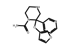 NC(=O)N1CCNCC1(Oc1ccoc1)c1cccnc1